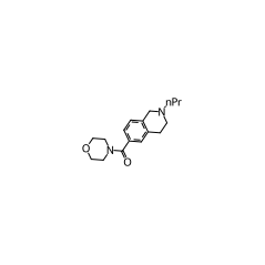 CCCN1CCc2cc(C(=O)N3CCOCC3)ccc2C1